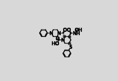 O=C(NO)[C@H]1C[C@H](Sc2ccccc2)CN(C(=O)O)[C@@H]1C(=O)N1CCN(c2ccccc2)CC1